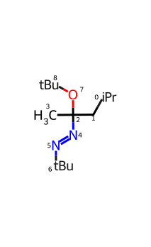 CC(C)CC(C)(/N=N/C(C)(C)C)OC(C)(C)C